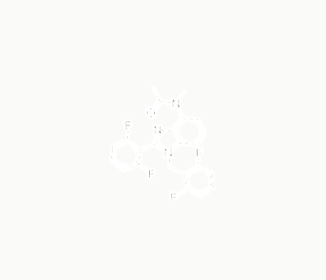 CC(=O)N(C)c1cccc2c1nc(-c1c(F)cccc1F)n2Cc1c(F)cccc1F